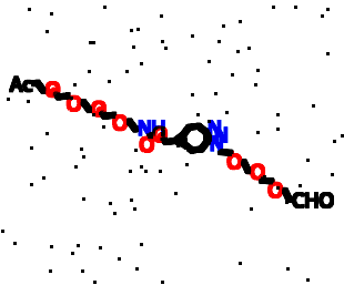 CC(=O)CCOCCOCCOCCOCCNC(=O)OCC1C2CCc3nnn(CCOCCOCCOCCC=O)c3CCC21